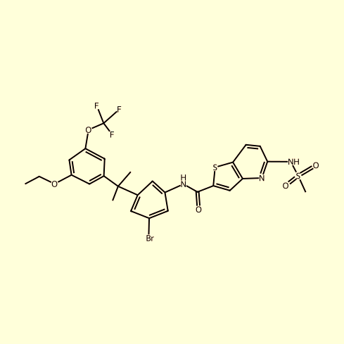 CCOc1cc(OC(F)(F)F)cc(C(C)(C)c2cc(Br)cc(NC(=O)c3cc4nc(NS(C)(=O)=O)ccc4s3)c2)c1